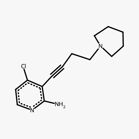 Nc1nccc(Cl)c1C#CCCN1CCCCC1